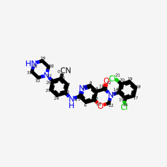 N#Cc1cc(Nc2cc3c(cn2)C(=O)N(c2c(Cl)cccc2Cl)CO3)ccc1N1CCNCC1